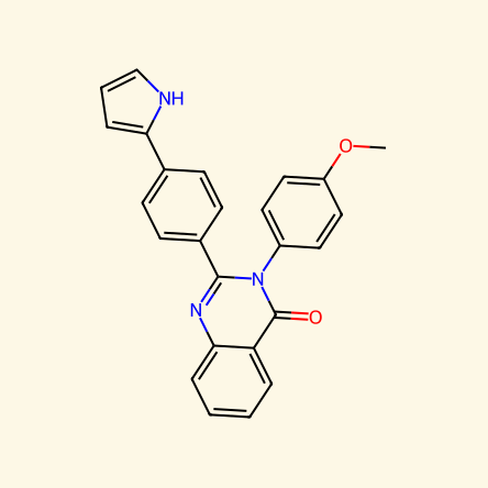 COc1ccc(-n2c(-c3ccc(-c4ccc[nH]4)cc3)nc3ccccc3c2=O)cc1